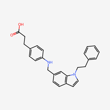 O=C(O)CCc1ccc(NCc2ccc3ccn(CCc4ccccc4)c3c2)cc1